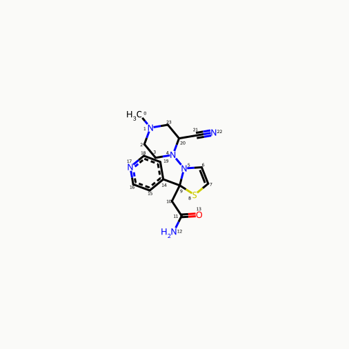 CN1CCN(N2C=CSC2(CC(N)=O)c2ccncc2)C(C#N)C1